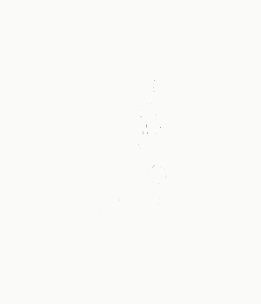 CCOC(=O)C(Cc1nc2cc(C#N)ccc2[nH]1)c1ccc(O[C@H]2CCN(C(=O)OC(C)(C)C)C2)cc1